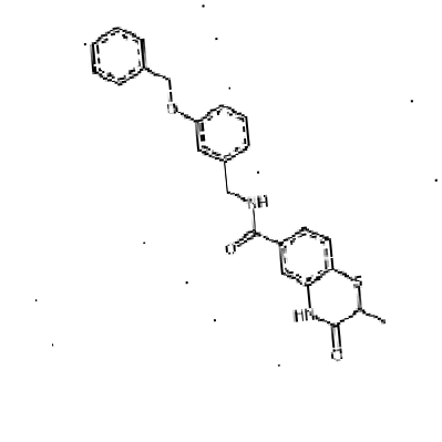 CC1Sc2ccc(C(=O)NCc3cccc(OCc4ccccc4)c3)cc2NC1=O